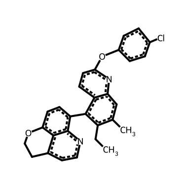 CCc1c(C)cc2nc(Oc3ccc(Cl)cc3)ccc2c1-c1ccc2c3c(ccnc13)CCO2